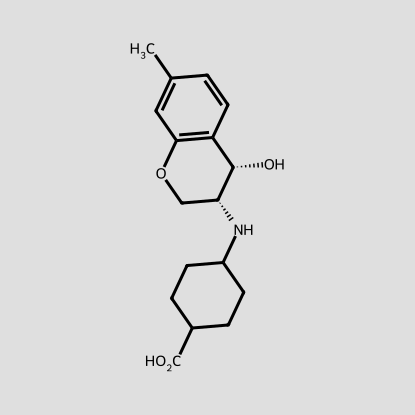 Cc1ccc2c(c1)OC[C@@H](NC1CCC(C(=O)O)CC1)[C@H]2O